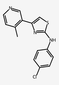 Cc1ccncc1-c1csc(Nc2ccc(Cl)cc2)n1